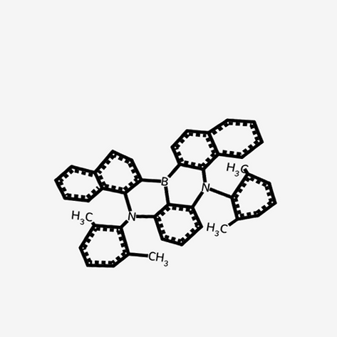 Cc1cccc(C)c1N1c2cccc3c2B(c2ccc4ccccc4c21)c1ccc2ccccc2c1N3c1c(C)cccc1C